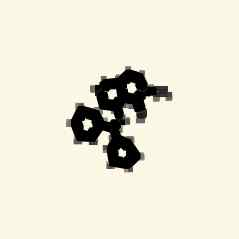 Cn1ccc2cncc(N=C(c3ccccc3)c3ccccc3)c2c1=O